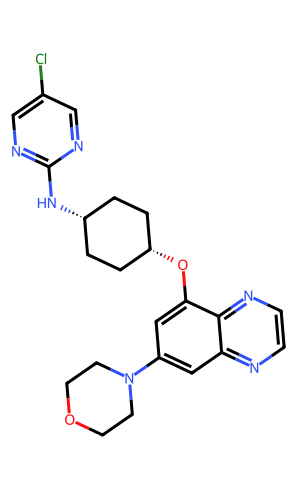 Clc1cnc(N[C@H]2CC[C@@H](Oc3cc(N4CCOCC4)cc4nccnc34)CC2)nc1